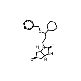 O=C1C[C@@H]2NC(=O)N(CCC(OCc3ccccc3)C3CCCCC3)[C@@H]2C1